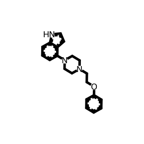 c1ccc(OCCN2CCN(c3cccc4[nH]ccc34)CC2)cc1